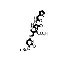 CCCCOn1ccc(SCC2=C(C(=O)O)N3C(=O)[C@@H](NC(=O)Cc4cccs4)[C@H]3SC2)nc1=O